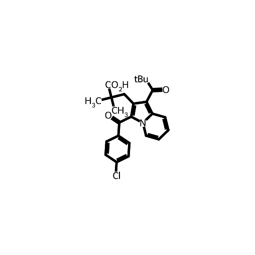 CC(C)(C)C(=O)c1c(CC(C)(C)C(=O)O)c(C(=O)c2ccc(Cl)cc2)n2ccccc12